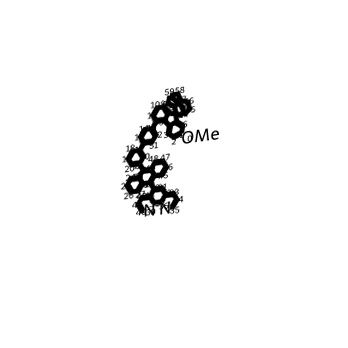 COc1ccc2c(c1)C1(c3cccc(-c4ccc(-c5cccc(-c6c7ccccc7c(-c7cc8cccnc8c8ncccc78)c7ccccc67)c5)cc4)c3-2)C2CCC3CC(C2)CC31